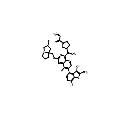 C=CC(=O)N1CCC(N(C)c2nc(OCC34CCCN3CC(F)C4)nc3c(F)c(-c4ccc(F)c5sc(N)c(C#N)c45)ccc23)C1